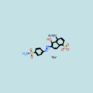 CC(=O)Nc1ccc(S(=O)(=O)[O-])c2ccc(/N=N/c3ccc(S(N)(=O)=O)cc3)c(O)c12.[Na+]